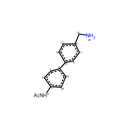 CC(=O)Nc1[c]cc(-c2ccc(CN)cc2)cc1